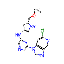 COC[C@@H]1C[C@@H](Nc2cncc(-n3cnc4cnc(Cl)cc43)n2)CN1